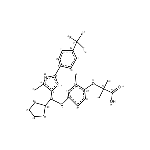 Cc1cc(OC(c2sc(-c3ccc(C(F)(F)F)cc3)nc2C)C2CCCC2)ccc1OC(C)(C)C(=O)O